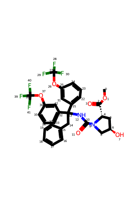 COC(=O)[C@@H]1C[C@@H](O)CN1C(=O)NC(Cc1ccccc1)(c1cccc(OC(F)(F)F)c1)c1cccc(OC(F)(F)F)c1